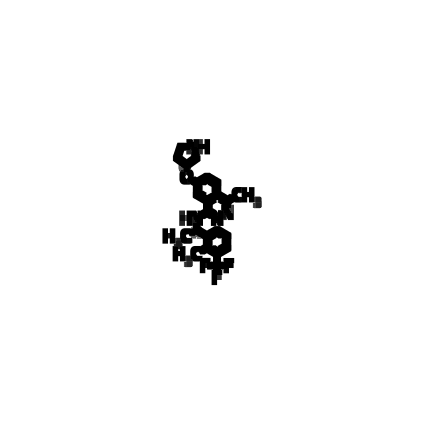 Cc1c([C@@H](C)Nc2nnc(C)c3ccc(O[C@H]4CCNC4)cc23)cccc1C(F)(F)F